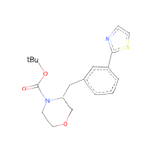 CC(C)(C)OC(=O)N1CCOCC1Cc1cccc(-c2nccs2)c1